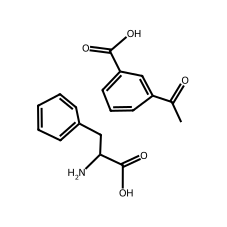 CC(=O)c1cccc(C(=O)O)c1.NC(Cc1ccccc1)C(=O)O